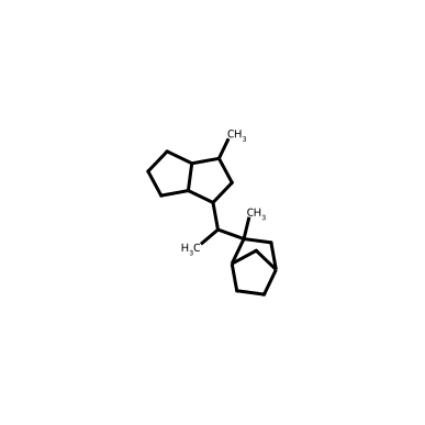 CC1CC(C(C)C2(C)CC3CCC2C3)C2CCCC12